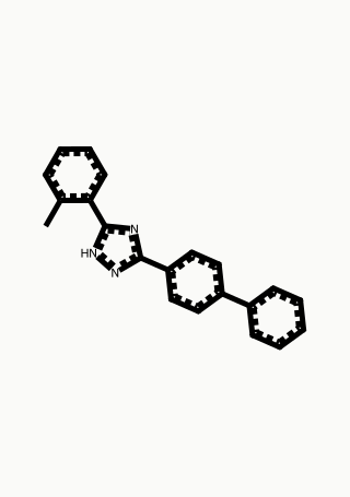 Cc1ccccc1-c1nc(-c2ccc(-c3ccccc3)cc2)n[nH]1